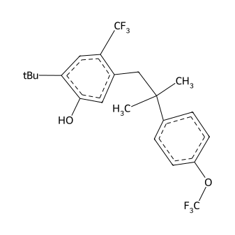 CC(C)(C)c1cc(C(F)(F)F)c(CC(C)(C)c2ccc(OC(F)(F)F)cc2)cc1O